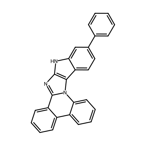 c1ccc(-c2ccc3c(c2)[nH]c2nc4c5ccccc5c5ccccc5n4c23)cc1